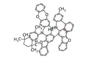 Cc1ccc(Nc2ccc3oc4ccccc4c3c2-c2cc3c(oc4ccccc43)c3c2Bc2cc4c(cc2N3c2cc3c(cc2C)C(C)(C)CCC3(C)C)Oc2ccccc2O4)c(-c2ccccc2)c1